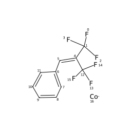 FC(F)(F)C(=Cc1ccccc1)C(F)(F)F.[Co]